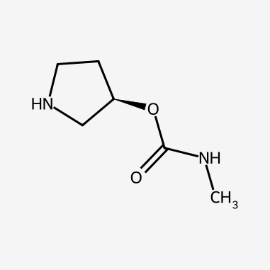 CNC(=O)O[C@@H]1CCNC1